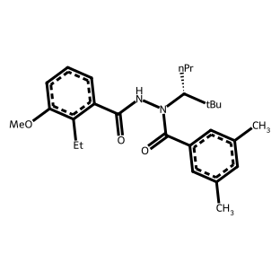 CCC[C@@H](N(NC(=O)c1cccc(OC)c1CC)C(=O)c1cc(C)cc(C)c1)C(C)(C)C